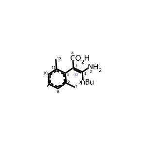 CCCC/C(N)=C(/C(=O)O)c1c(C)cccc1C